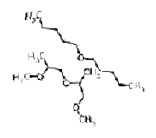 CCCCCOCCCCC.COCC(C)OCC(C)OC